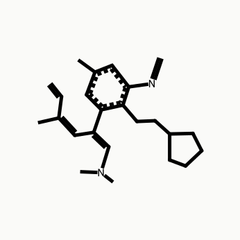 C=C/C(C)=C\C(=C/N(C)C)c1cc(C)cc(N=C)c1CCC1CCCC1